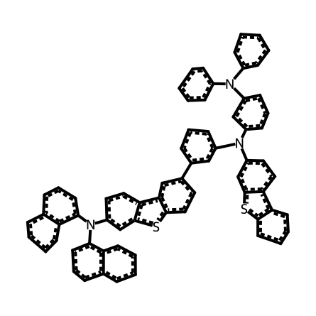 c1ccc(N(c2ccccc2)c2cccc(N(c3cccc(-c4ccc5sc6cc(N(c7cccc8ccccc78)c7cccc8ccccc78)ccc6c5c4)c3)c3ccc4c(c3)sc3ccccc34)c2)cc1